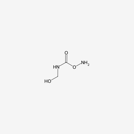 NOC(=O)NCO